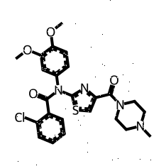 COc1ccc(N(C(=O)c2ccccc2Cl)c2nc(C(=O)N3CCN(C)CC3)cs2)cc1OC